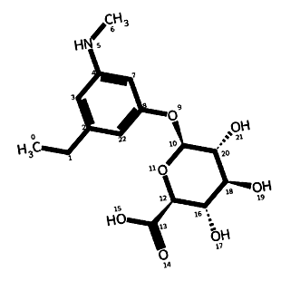 CCc1cc(NC)cc(O[C@@H]2O[C@H](C(=O)O)[C@@H](O)[C@H](O)[C@H]2O)c1